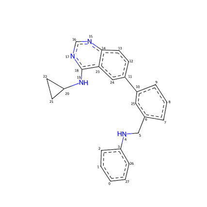 c1ccc(NCc2cccc(-c3ccc4ncnc(NC5CC5)c4c3)c2)cc1